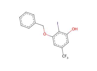 Oc1cc(C(F)(F)F)cc(OCc2ccccc2)c1I